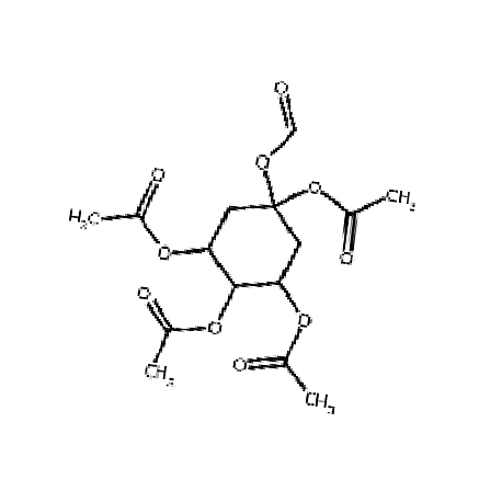 CC(=O)OC1CC(OC=O)(OC(C)=O)CC(OC(C)=O)C1OC(C)=O